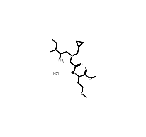 CCC(C)C(N)CN(CC(=O)NC(CCSC)C(=O)OC)CC1CC1.Cl